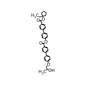 CCC1(OC(=O)c2ccc(-c3ccc(OC(=O)c4ccc(-c5ccc(OCC(C)O)cc5)cc4)cc3)cc2)CCCC1